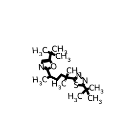 CC(CCC(C)(C)c1nnc(C(C)(C)C)s1)c1ncc(C(C)(C)C)o1